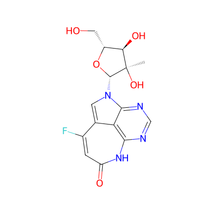 C[C@@]1(O)[C@H](O)[C@@H](CO)O[C@H]1n1cc2c3c(ncnc31)NC(=O)C=C2F